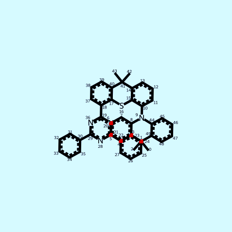 CC1(C)c2ccccc2N(c2cccc3c2Sc2c(-c4nc(-c5ccccc5)nc(-c5ccccc5)n4)cccc2C3(C)C)c2ccccc21